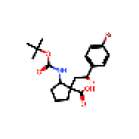 CC(C)(C)OC(=O)NC1CCCC1(CC(=O)c1ccc(Br)cc1)C(=O)O